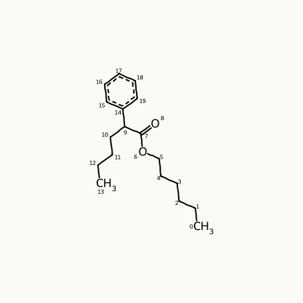 CCCCCCOC(=O)C(CCCC)c1ccccc1